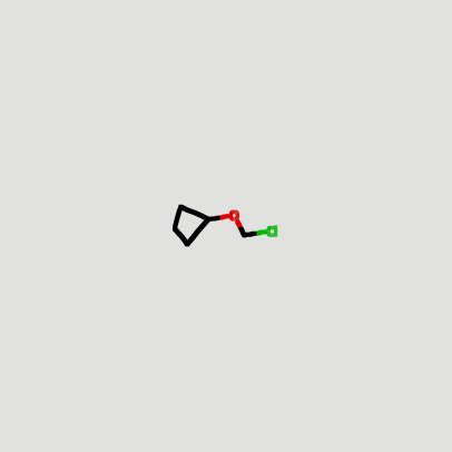 ClCOC1CCC1